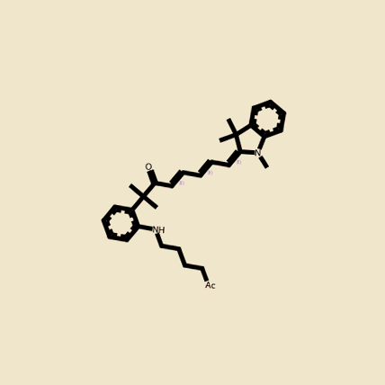 CC(=O)CCCCNc1ccccc1C(C)(C)C(=O)/C=C/C=C/C=C1/N(C)c2ccccc2C1(C)C